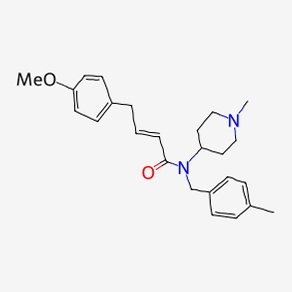 COc1ccc(CC=CC(=O)N(Cc2ccc(C)cc2)C2CCN(C)CC2)cc1